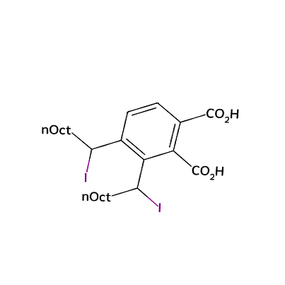 CCCCCCCCC(I)c1ccc(C(=O)O)c(C(=O)O)c1C(I)CCCCCCCC